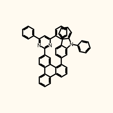 c1ccc(-c2cc(-c3ccccc3)nc(-c3ccc4c5ccccc5c5cccc(-c6ccc7c8ccccc8n(-c8ccccc8)c7c6)c5c4c3)n2)cc1